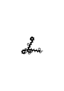 COC(=O)CCCCCCC1C(/C=C/C(=O)CCCc2ccccc2)C(OC2CCCCO2)CS1(=O)=O